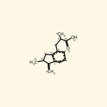 C=C1c2cccc(CC(C)C(=O)O)c2CC1C